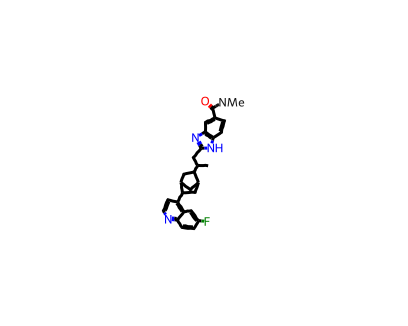 CNC(=O)c1ccc2[nH]c(CC(C)C3CC4CC3CC4c3ccnc4ccc(F)cc34)nc2c1